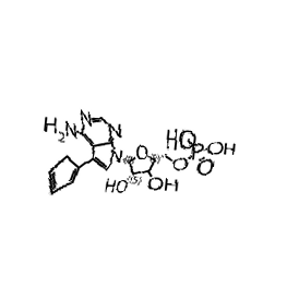 Nc1ncnc2c1c(C1=CC=CC1)cn2[C@@H]1O[C@H](COP(=O)(O)O)C(O)[C@@H]1O